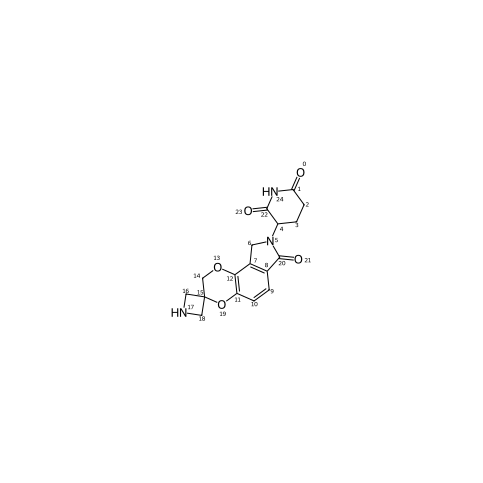 O=C1CCC(N2Cc3c(ccc4c3OCC3(CNC3)O4)C2=O)C(=O)N1